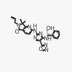 C=CCN1C(=O)c2ccc(Nc3ncc(-c4nnco4)c(N[C@H](CO)c4ccccc4)n3)nc2C1(C)C